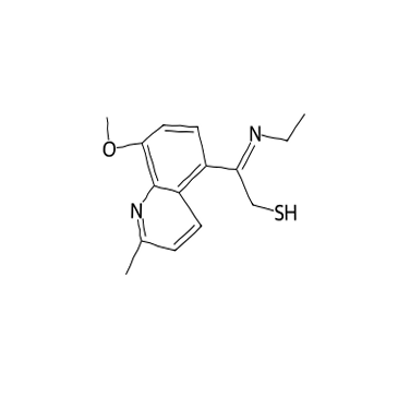 CC/N=C(\CS)c1ccc(OC)c2nc(C)ccc12